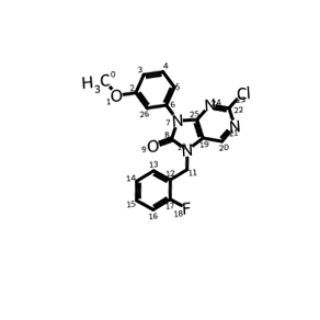 COc1cccc(-n2c(=O)n(Cc3ccccc3F)c3cnc(Cl)nc32)c1